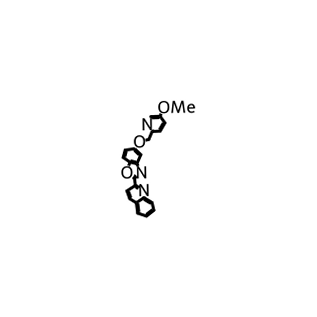 COc1ccc(COc2ccc3oc(-c4ccc5ccccc5n4)nc3c2)nc1